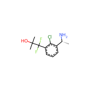 C[C@@H](N)c1cccc(C(F)(F)C(C)(C)O)c1Cl